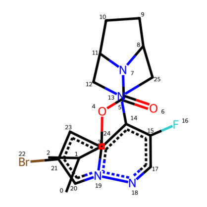 CC(C)COC(=O)N1C2CCC1CN(c1c(F)cnn3cc(Br)cc13)C2